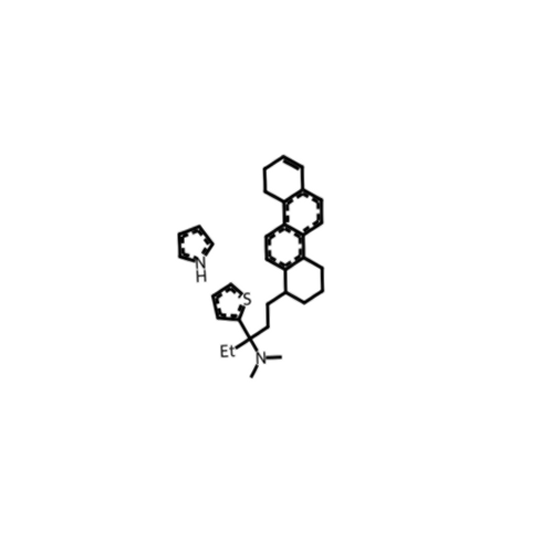 CCC(CCC1CCCc2c1ccc1c3c(ccc21)C=CCC3)(c1cccs1)N(C)C.c1cc[nH]c1